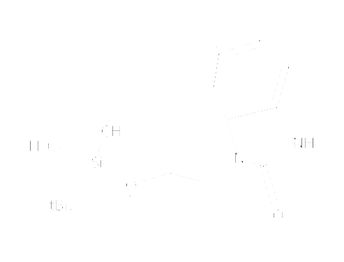 CC(C)(C)[Si](C)(C)OCCn1c(=O)[nH]c2ccccc21